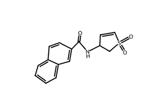 O=C(NC1C=CS(=O)(=O)C1)c1ccc2ccccc2c1